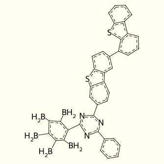 Bc1c(B)c(B)c(-c2nc(-c3ccccc3)nc(-c3ccc4c(c3)sc3ccc(-c5cccc6c5sc5ccccc56)cc34)n2)c(B)c1B